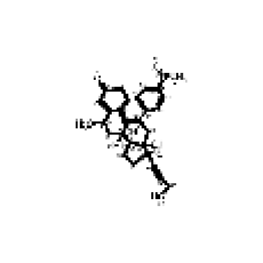 C[C@@H]1C[C@@H]2C(=C3CCC(=O)C=C31)[C@@H](c1ccc(N(C)C)cc1)C[C@@]1(C)[C@H]2CC[C@@]1(O)C#CCO